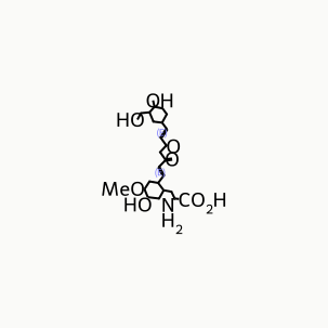 COC1CC(/C=C/C(=O)CC(=O)/C=C/C2CCC(O)C(CO)C2)C(CC(N)C(=O)O)CC1O